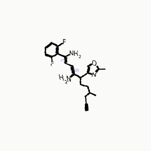 C#CCC(C)CCC(/C(N)=C/C=C(\N)c1c(F)cccc1F)c1coc(C)n1